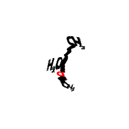 C=CCOCC(=C)CCCCCC